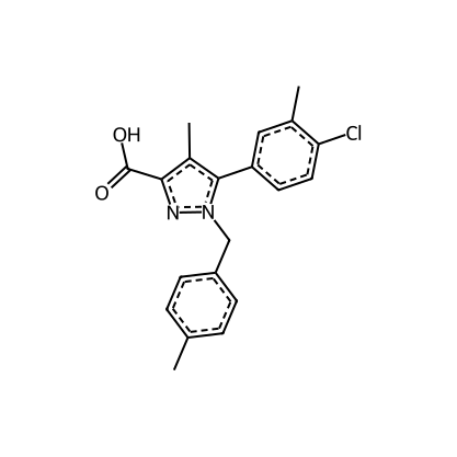 Cc1ccc(Cn2nc(C(=O)O)c(C)c2-c2ccc(Cl)c(C)c2)cc1